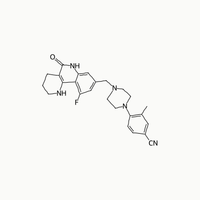 Cc1cc(C#N)ccc1N1CCN(Cc2cc(F)c3c4c(c(=O)[nH]c3c2)CCCN4)CC1